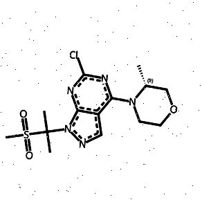 C[C@@H]1COCCN1c1nc(Cl)nc2c1cnn2C(C)(C)S(C)(=O)=O